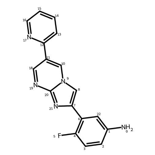 Nc1ccc(F)c(-c2cn3cc(-c4ccccn4)cnc3n2)c1